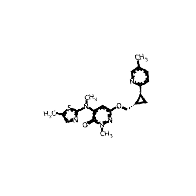 Cc1ccc([C@H]2C[C@@H]2COc2cc(N(C)c3ncc(C)s3)c(=O)n(C)n2)nc1